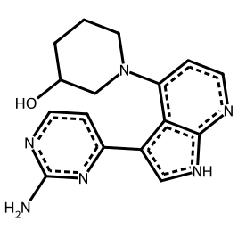 Nc1nccc(-c2c[nH]c3nccc(N4CCCC(O)C4)c23)n1